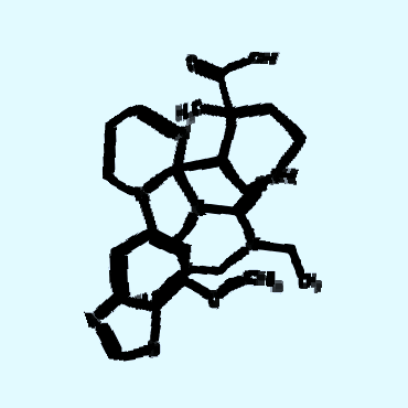 CCN1CN(C)CN(C2(C3CNCCC3(C)C(=O)O)N=CC=CN2c2cc(OC)c3scnc3c2)C1=O